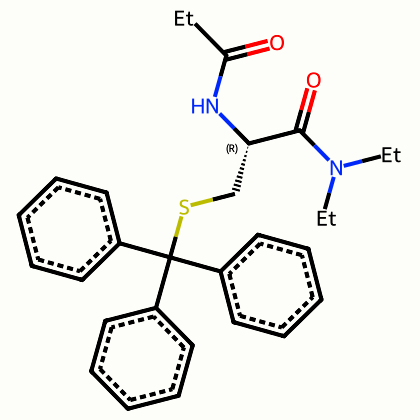 CCC(=O)N[C@@H](CSC(c1ccccc1)(c1ccccc1)c1ccccc1)C(=O)N(CC)CC